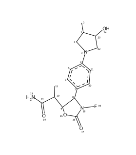 CC1CN(c2ccc(C3C(C(C)C(N)=O)OC(=O)N3F)cc2)CC1O